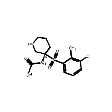 Cc1c(Cl)cccc1S(=O)(=O)[C@@]1(NC(=O)O)CCCNC1